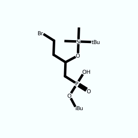 CCC(C)OP(=O)(O)CC(CCBr)O[Si](C)(C)C(C)(C)C